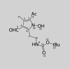 CC(=O)c1c(C)c(C=O)c(CCNC(=O)OC(C)(C)C)n1O